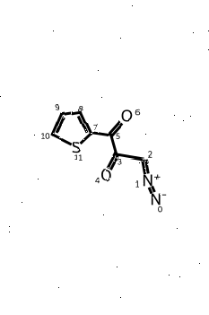 [N-]=[N+]=CC(=O)C(=O)c1cccs1